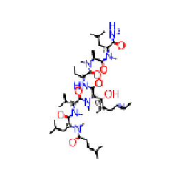 C=C(C(=O)N(C)[C@@H](CC(C)C)C(N)=O)N(C)C(=O)[C@H](CC)NC(=O)[C@H]([C@H](O)[C@H](C)C/C=C/C)N(C)C(=O)[C@H](C(C)C)N(C)C(=O)[C@H](CC(C)C)N(C)C(=O)CCC(C)C